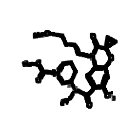 COCCCCN1C(=O)C2(CC2)Oc2cc(C(F)(F)F)c(C(=O)N(C(C)C)[C@@H]3CCCN(C(=O)OC(C)(C)C)C3)cc21